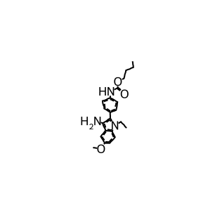 CCCCOC(=O)Nc1ccc(-c2c(N)c3cc(OC)ccc3n2CC)cc1